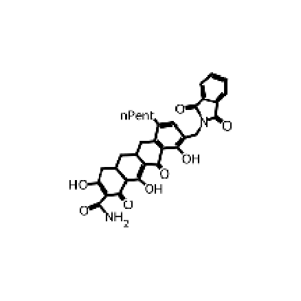 CCCCCc1cc(CN2C(=O)c3ccccc3C2=O)c(O)c2c1CC1CC3CC(O)=C(C(N)=O)C(=O)C3C(O)=C1C2=O